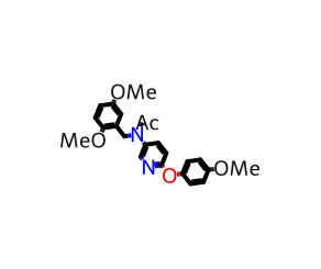 COc1ccc(Oc2ccc(N(Cc3cc(OC)ccc3OC)C(C)=O)cn2)cc1